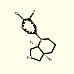 Fc1cc(N2CCC[C@H]3CNC[C@H]32)cnc1Cl